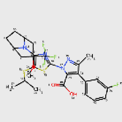 COC1(C(F)(F)F)CC2CCC(C1)N2c1nc(-n2nc(C)c(-c3cccc(F)c3)c2C(=O)O)sc1SC(C)C